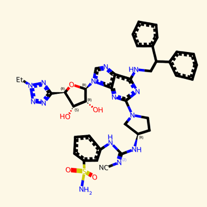 CCn1nnc([C@H]2O[C@@H](n3cnc4c(NCC(c5ccccc5)c5ccccc5)nc(N5CC[C@@H](N/C(=N/C#N)Nc6cccc(S(N)(=O)=O)c6)C5)nc43)[C@H](O)[C@@H]2O)n1